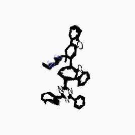 C/C=C\C=C/C1(C)Cc2c(oc3ccccc23)C=C1c1ccc(-c2nc(C3=CCCC=C3)nc(-c3ccccc3)n2)c2c1oc1ccccc12